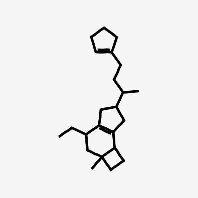 CCC1CC2(C)CCC2C2=C1CC(C(C)CCC1=CCCC1)C2